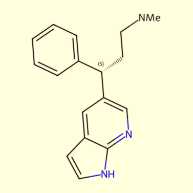 CNCC[C@@H](c1ccccc1)c1cnc2[nH]ccc2c1